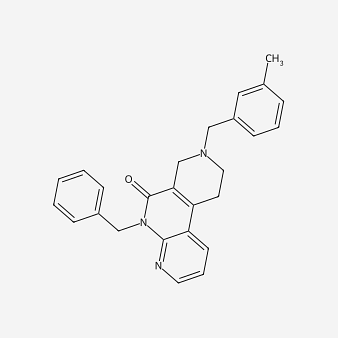 Cc1cccc(CN2CCc3c(c(=O)n(Cc4ccccc4)c4ncccc34)C2)c1